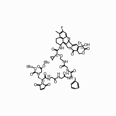 CC[C@@]1(O)C(=O)OCc2c1cc1n(c2=O)Cc2c-1nc1cc(F)c(C)c3c1c2[C@@H](NC(=O)[C@@H](OCNC(=O)CNC(=O)[C@H](Cc1ccccc1)NC(=O)CNC(=O)CNC(=O)[C@H](CN(CC(=O)OC(C)(C)C)C(=O)OC(C)(C)C)N1C(=O)C=CC1=O)C1CC1)CC3